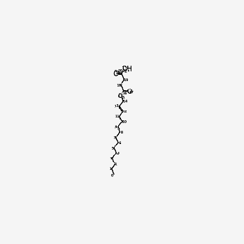 CCCCCCCCCCCCC=CCOC(=O)CCC(=O)O